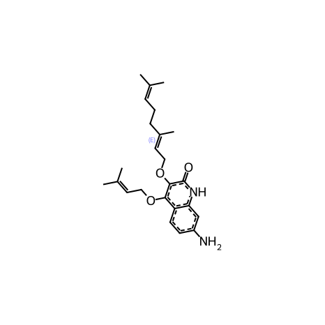 CC(C)=CCC/C(C)=C/COc1c(OCC=C(C)C)c2ccc(N)cc2[nH]c1=O